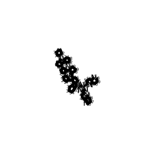 c1ccc(-n2c3ccccc3c3c(-n4c5ccccc5c5c(-n6c7ccccc7c7c8c9ccccc9n(-c9nc(-c%10ccc%11ncccc%11n%10)nc(-c%10ccc%11ncccc%11n%10)n9)c8ccc76)cccc54)cccc32)cc1